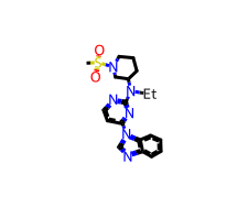 CCN(c1nccc(-n2cnc3ccccc32)n1)C1CCCN(S(C)(=O)=O)C1